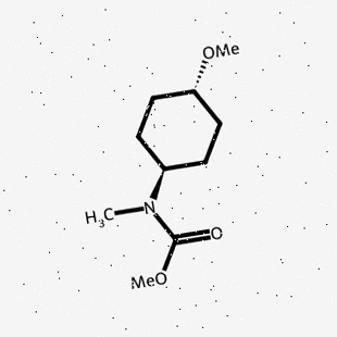 COC(=O)N(C)[C@H]1CC[C@H](OC)CC1